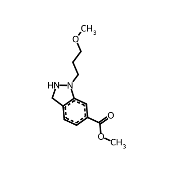 COCCCN1NCc2ccc(C(=O)OC)cc21